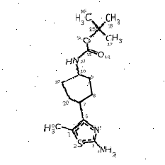 Cc1sc(N)nc1C1CCC(NC(=O)OC(C)(C)C)CC1